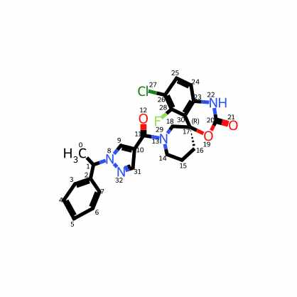 CC(c1ccccc1)n1cc(C(=O)N2CCC[C@@]3(C2)OC(=O)Nc2ccc(Cl)c(F)c23)cn1